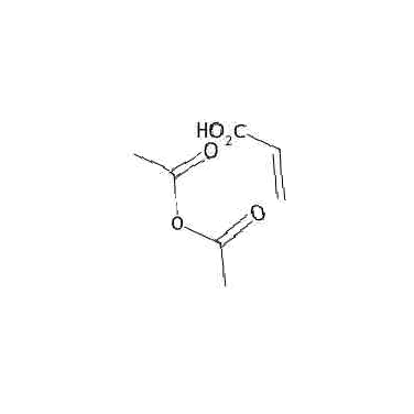 C=CC(=O)O.CC(=O)OC(C)=O